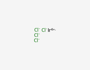 [Cl-].[Cl-].[Cl-].[Cl-].[Ir+4]